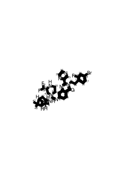 C[C@H]1[C@@H](NC(=Nc2ccc3c(=O)n(CCc4ccc(Br)cc4F)c(-c4cnccn4)nc3c2)N2CCN[C@@H](C(F)F)C2)C[C@@H]2C[C@@H]1C2(C)C